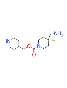 NCC1(F)CCN(C(=O)OCC2CCNCC2)CC1